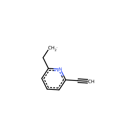 C#Cc1cccc(C[CH2])n1